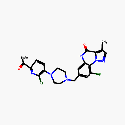 CNC(=O)c1ccc(N2CCN(Cc3cc(F)c4c(c3)[nH]c(=O)c3c(C)cnn34)CC2)c(Cl)n1